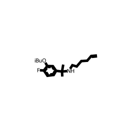 C=CCCCCNC(C)(C)c1ccc(F)c(OCC(C)C)c1